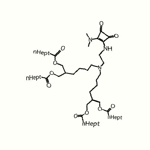 CCCCCCCC(=O)OCC(CCCCN(CCCCC(COC(=O)CCCCCCC)COC(=O)CCCCCCC)CCNc1c(N(C)C)c(=O)c1=O)COC(=O)CCCCCCC